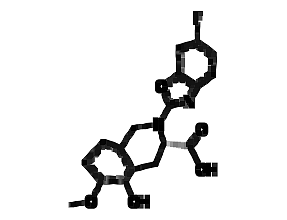 COc1ccc2c(c1O)C[C@@H](C(=O)O)N(c1nc3ccc(F)cc3o1)C2